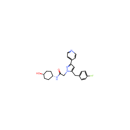 O=C(Cn1nc(-c2ccncc2)cc1Cc1ccc(F)cc1)N[C@H]1CC[C@H](O)CC1